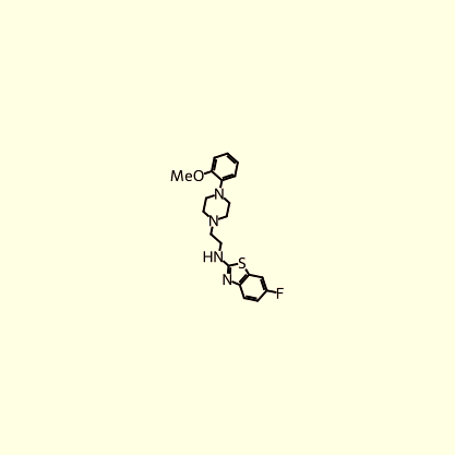 COc1ccccc1N1CCN(CCNc2nc3ccc(F)cc3s2)CC1